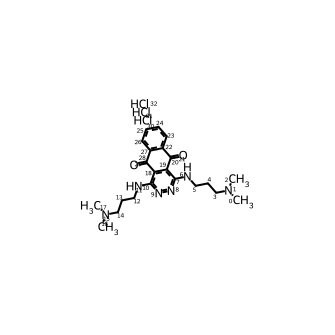 CN(C)CCCNc1nnc(NCCCN(C)C)c2c1C(=O)c1ccccc1C2=O.Cl.Cl.Cl